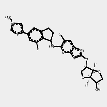 Cn1cnc(-c2cc(F)c3c(c2)CCC3Nc2nc3nc(O[C@@H]4CO[C@H]5[C@@H]4OC[C@H]5O)[nH]c3cc2Cl)c1